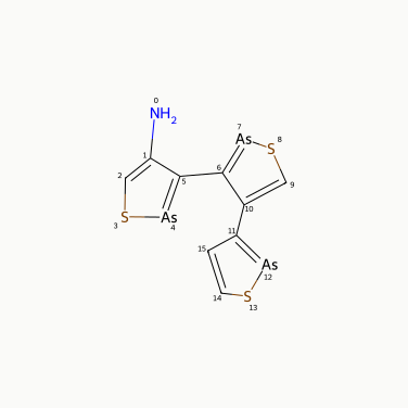 NC1=CS[As]=C1C1=[As]SC=C1C1=[As]SC=C1